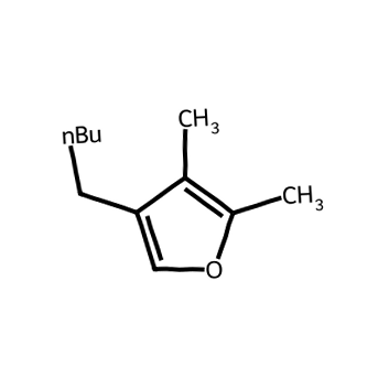 CCCCCc1coc(C)c1C